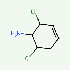 NC1C(Cl)C=CCC1Cl